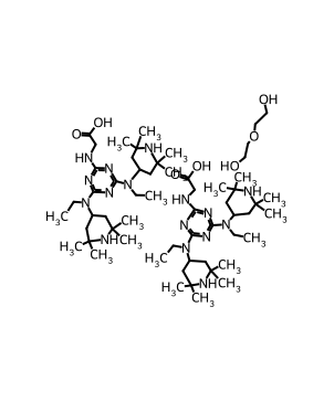 CCN(c1nc(NCC(=O)O)nc(N(CC)C2CC(C)(C)NC(C)(C)C2)n1)C1CC(C)(C)NC(C)(C)C1.CCN(c1nc(NCC(=O)O)nc(N(CC)C2CC(C)(C)NC(C)(C)C2)n1)C1CC(C)(C)NC(C)(C)C1.OCCOCCO